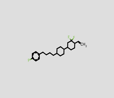 C=CC1CCC(C2CCC(CCCCc3ccc(F)cc3)CC2)CC1(F)F